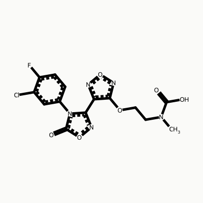 CN(CCOc1nonc1-c1noc(=O)n1-c1ccc(F)c(Cl)c1)C(=O)O